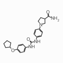 NC(=O)C1CCN(c2ccc(NC(=O)Nc3ccc(OC4CCCC4)cc3)cc2)C1